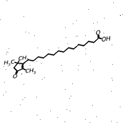 CC1=C(CCCCCCCCCCCCCCC(=O)O)C(C)(C)CC1=O